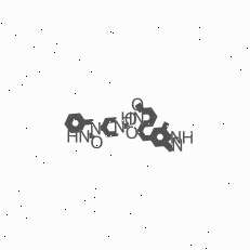 Cc1cc(CC(OC(=O)N2CCC(N3Cc4ccccc4NC3=O)CC2)c2cccc(=O)[nH]2)cc2cn[nH]c12